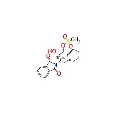 CS(=O)(=O)OC[C@@H](O)[C@H](Cc1ccccc1)N1C(=O)c2ccccc2C1=O